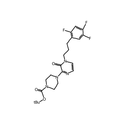 CC(C)(C)OC(=O)N1CCN(c2nccn(CCCc3cc(F)c(F)cc3F)c2=O)CC1